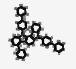 c1ccc(-c2ccc(-n3c4ccccc4c4c3ccc3c5c(-c6ccccc6)cccc5n(-c5ccc(-c6ccccc6)cc5)c34)cc2)cc1